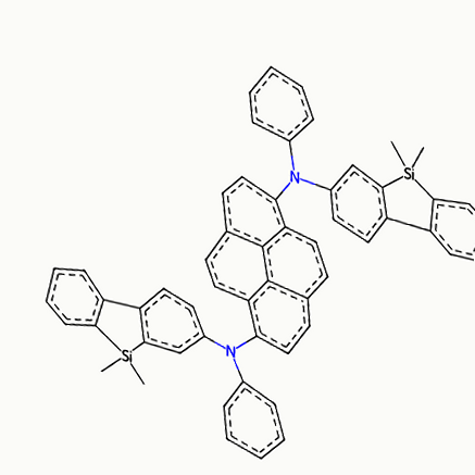 C[Si]1(C)c2ccccc2-c2ccc(N(c3ccccc3)c3ccc4ccc5c(N(c6ccccc6)c6ccc7c(c6)[Si](C)(C)c6ccccc6-7)ccc6ccc3c4c65)cc21